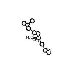 CC1(C)c2cc(-c3ccc(-c4ccc5cccnc5c4)cc3)cc3ccc4cc(-c5ccc6c7ccccc7n(-c7ccccc7)c6c5)cc1c4c23